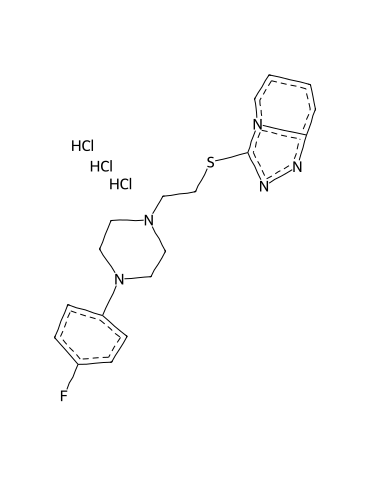 Cl.Cl.Cl.Fc1ccc(N2CCN(CCSc3nnc4ccccn34)CC2)cc1